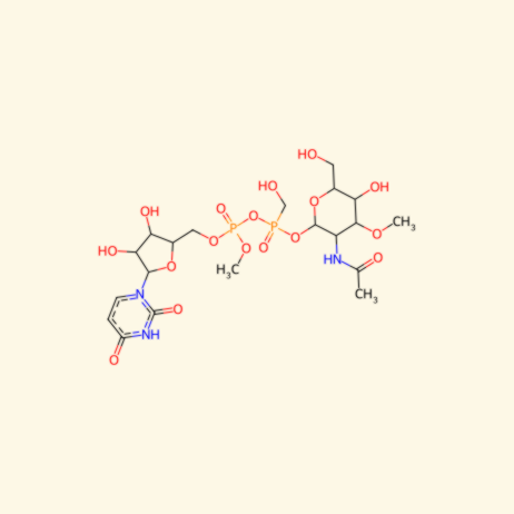 COC1C(O)C(CO)OC(OP(=O)(CO)OP(=O)(OC)OCC2OC(n3ccc(=O)[nH]c3=O)C(O)C2O)C1NC(C)=O